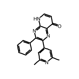 Cc1cc(-c2nc3c(=O)cc[nH]c3nc2-c2ccccc2)cc(C)n1